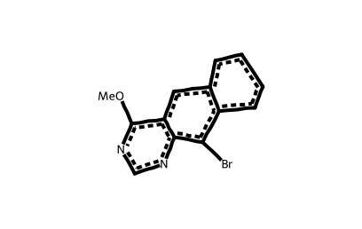 COc1ncnc2c(Br)c3ccccc3cc12